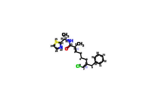 C/C(=C\CCC/C(=C\Cl)Cc1ccccc1)C(=O)N[C@@H](C)c1nccs1